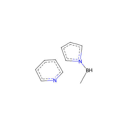 CBn1cccc1.c1ccncc1